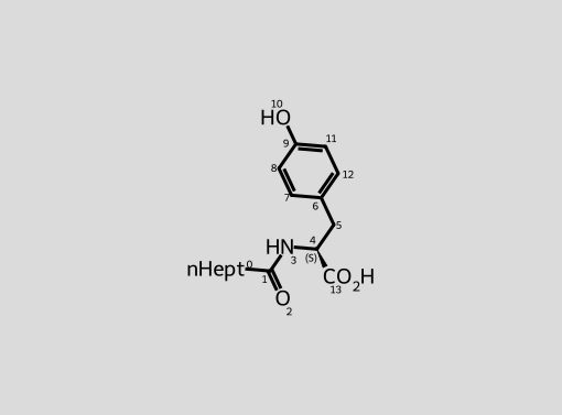 CCCCCCCC(=O)N[C@@H](Cc1ccc(O)cc1)C(=O)O